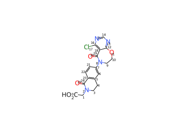 O=C(O)CN1CCc2cc(N3CCOc4ncnc(Cl)c4C3=O)ccc2C1=O